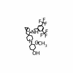 COC1CC(O)CCC1N1CCC(CC2CC2)(C(=O)NCc2cc(C(F)(F)F)cc(C(F)(F)F)c2)CC1